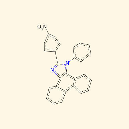 O=[N+]([O-])c1ccc(-c2nc3c4ccccc4c4ccccc4c3n2-c2ccccc2)cc1